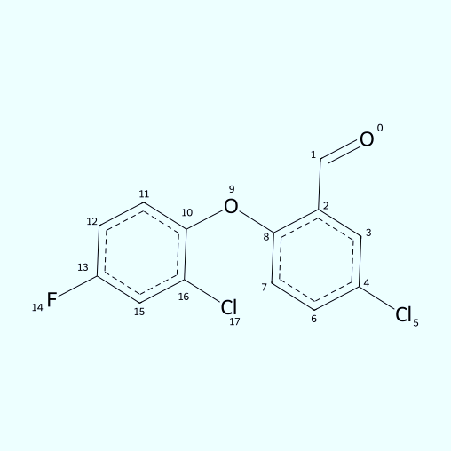 O=Cc1cc(Cl)ccc1Oc1ccc(F)cc1Cl